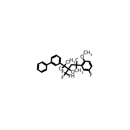 COc1ccc(F)cc1C(C)(C)CC(O)(C(F)(F)F)C(Cl)(Cl)c1cccc(-c2ccccc2)c1